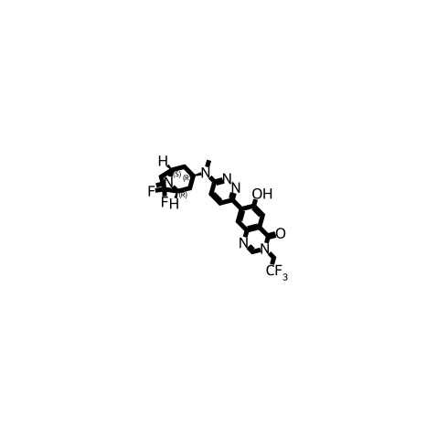 CN(c1ccc(-c2cc3ncn(CC(F)(F)F)c(=O)c3cc2O)nn1)[C@@H]1C[C@H]2CC(F)(F)[C@@H](C1)N2C